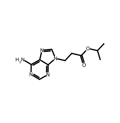 CC(C)OC(=O)CCn1cnc2c(N)ncnc21